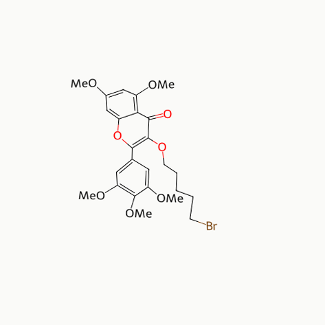 COc1cc(OC)c2c(=O)c(OCCCCCBr)c(-c3cc(OC)c(OC)c(OC)c3)oc2c1